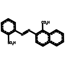 O=C(O)c1c(N=Nc2ccccc2S(=O)(=O)O)ccc2ccccc12